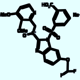 COc1ccnc(C[S+]([O-])c2nc3ccc(OC(F)F)cc3n2S(=O)(=O)c2cccc(C(=O)O)c2)c1OC.[Na]